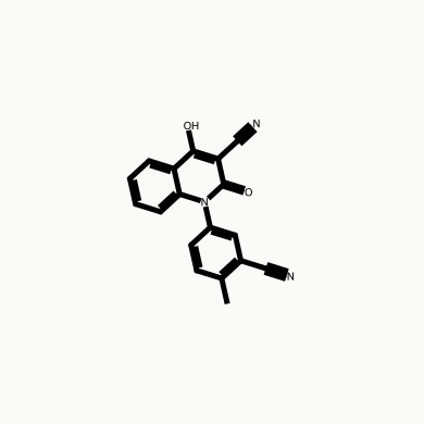 Cc1ccc(-n2c(=O)c(C#N)c(O)c3ccccc32)cc1C#N